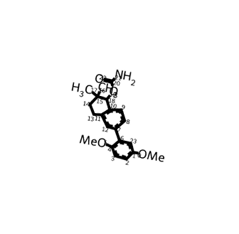 COc1ccc(OC)c(-c2ccc3c(c2)CCC(C)(C)C3OC(N)=O)c1